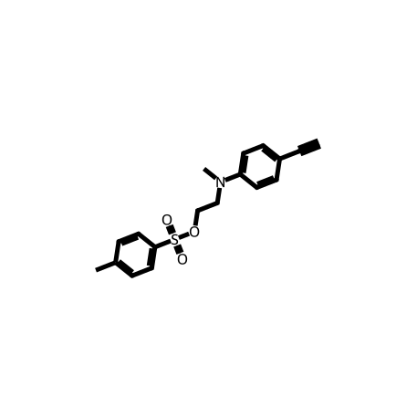 C#Cc1ccc(N(C)CCOS(=O)(=O)c2ccc(C)cc2)cc1